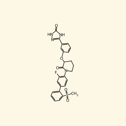 CS(=O)(=O)c1ccccc1-c1ccc(N2CCCC(Oc3cccc(-c4n[nH]c(=O)[nH]4)c3)C2=O)c(F)c1